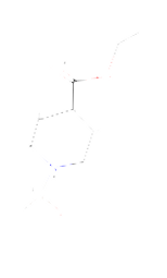 CCOC(=O)C1CCN([S+](C)[O-])CC1